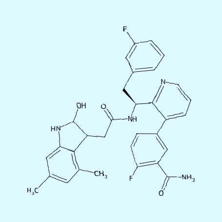 Cc1cc(C)c2c(c1)NC(O)C2CC(=O)N[C@@H](Cc1cccc(F)c1)c1ncccc1-c1ccc(F)c(C(N)=O)c1